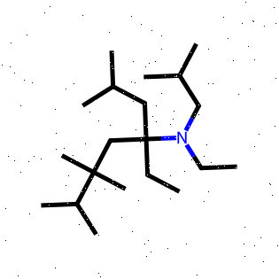 CCN(CC(C)C)C(CC)(CC(C)C)CC(C)(C)C(C)C